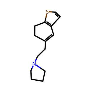 C1=C(CCN2CCCC2)CCc2sccc21